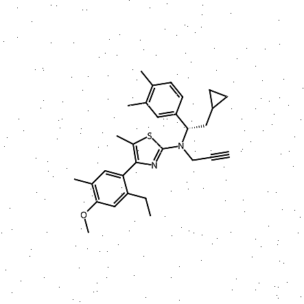 C#CCN(c1nc(-c2cc(C)c(OC)cc2CC)c(C)s1)[C@@H](CC1CC1)c1ccc(C)c(C)c1